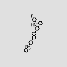 Fc1ccc(C2Nc3cc(-c4ccc5cc(-c6ccc(-c7nc8ccccc8s7)cc6)ccc5c4)ccc3-c3ccccc32)cc1